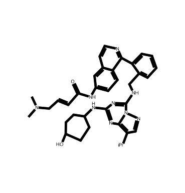 CC(C)c1cnn2c(NCc3ccccc3-c3nccc4cc(NC(=O)/C=C/CN(C)C)ccc34)nc(NC3CCC(O)CC3)nc12